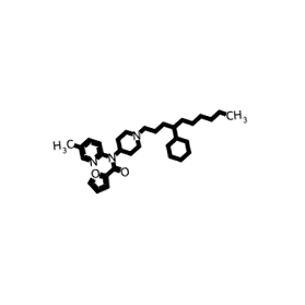 CCCCCCC(CCCN1CCC(N(C(=O)c2ccco2)c2ccc(C)cn2)CC1)C1CCCCC1